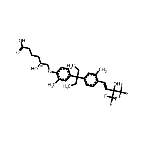 CCC(CC)(c1ccc(C=CC(O)(C(F)(F)F)C(F)(F)F)c(C)c1)c1ccc(OC[C@@H](O)CCCC(=O)O)c(C)c1